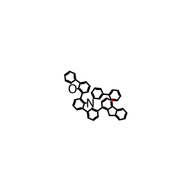 c1ccc(-c2cccc(-n3c4c(-c5cccc6c5Cc5ccccc5-6)cccc4c4cccc(-c5cccc6c5oc5ccccc56)c43)c2)cc1